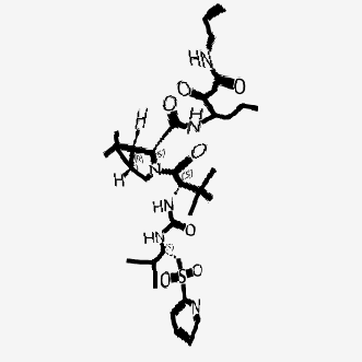 C=CCNC(=O)C(=O)C(CCC)NC(=O)[C@@H]1[C@@H]2[C@H](CN1C(=O)[C@@H](NC(=O)N[C@H](CS(=O)(=O)c1ccccn1)C(C)C)C(C)(C)C)C2(C)C